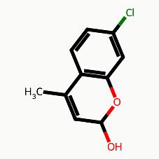 CC1=CC(O)Oc2cc(Cl)ccc21